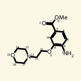 COC(=O)c1ccc(N)c(OCCN2CCOCC2)c1